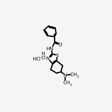 CN(C)C1CCc2nc(NC(=O)c3ccccc3)sc2C1.Cl.Cl